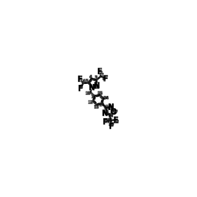 FC(F)c1cc(C(F)F)n(Cc2ccc(-c3noc(C(F)(F)F)n3)cc2)n1